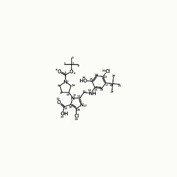 CC(C)(C)OC(=O)N1CCC(n2c(CNc3cc(C(C)(C)C)c(Cl)cc3O)nc(Cl)c2C(=O)O)C1